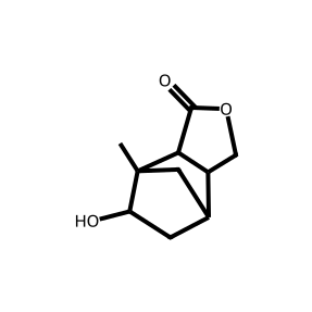 CC12CC(CC1O)C1COC(=O)C12